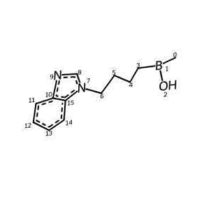 CB(O)CCCCn1cnc2ccccc21